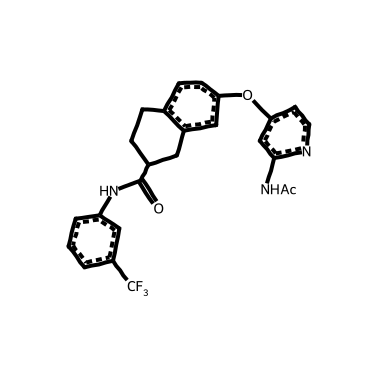 CC(=O)Nc1cc(Oc2ccc3c(c2)CC(C(=O)Nc2cccc(C(F)(F)F)c2)CC3)ccn1